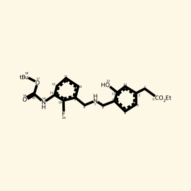 CCOC(=O)Cc1ccc(CNCc2cccc(NC(=O)OC(C)(C)C)c2F)c(O)c1